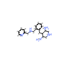 NC1CNCC(N)C1Cc1ccccc1CNCc1ccccn1